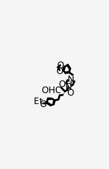 CCOc1ccc(CCC[C@@H](C(=O)N2CCN(Cc3ccc4c(c3)OCO4)CC2)[C@H](O)C=O)cc1